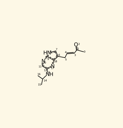 CC(=O)/C=C/Cc1c[nH]c2ncc(NC(C)C)nc12